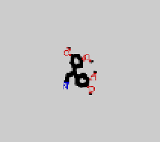 COc1cc(OC)cc(/C(=C/C#N)c2ccc(OC)c(OC)c2)c1